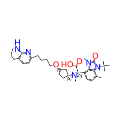 Cc1ccc([C@H](C(=O)O)N(C)[C@H]2CC[C@H](OCCCCc3ccc4c(n3)NCCC4)C2)c2c1n(C(C)(C)C)c(=O)n2C